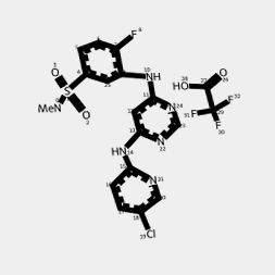 CNS(=O)(=O)c1ccc(F)c(Nc2cc(Nc3ccc(Cl)cn3)ncn2)c1.O=C(O)C(F)(F)F